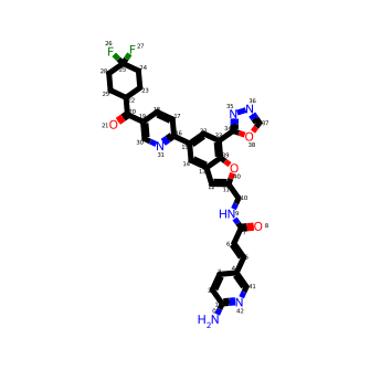 Nc1ccc(/C=C/C(=O)NCc2cc3cc(-c4ccc(C(=O)C5CCC(F)(F)CC5)cn4)cc(-c4nnco4)c3o2)cn1